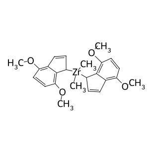 COc1ccc(OC)c2c1C=C[CH]2[Zr]([CH3])([CH3])[CH]1C=Cc2c(OC)ccc(OC)c21